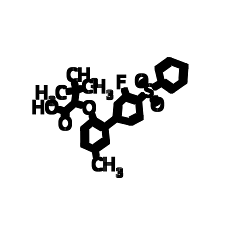 Cc1ccc(OC(C(=O)O)C(C)(C)C)c(-c2ccc(S(=O)(=O)c3ccccc3)c(F)c2)c1